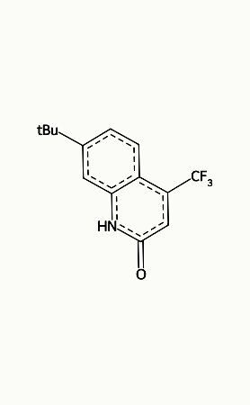 CC(C)(C)c1ccc2c(C(F)(F)F)cc(=O)[nH]c2c1